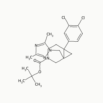 Cc1nc(C)n(CC23CN(C(=O)OC(C)(C)C)CCC2(c2ccc(Cl)c(Cl)c2)C3)n1